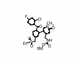 CCS(=O)(=O)Cc1ccc(C(=O)c2ccc(F)cc2Cl)c(-c2cn(C)c(=O)cc2CNC(=O)OC(C)(C)C)c1